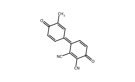 CC1=C/C(=C2\C=CC(=O)C(C#N)=C2C#N)C=CC1=O